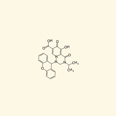 CC(C)N1CN(C2c3ccccc3Oc3ccccc32)n2cc(C(=O)O)c(=O)c(O)c2C1=O